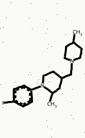 CC1CCN(CC2CCN(c3ccc(I)cc3)C(C)C2)CC1